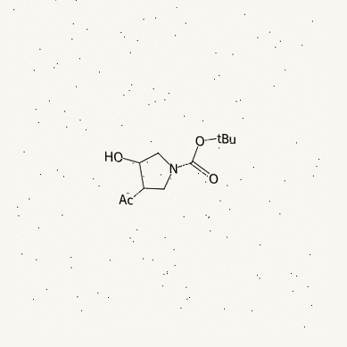 CC(=O)C1CN(C(=O)OC(C)(C)C)CC1O